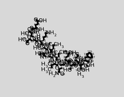 CC[C@H](C)[C@H](NC(=O)[C@H](CC(C)C)NC(=O)[C@H](Cc1c[nH]cn1)NC(=O)[C@H](CC(C)C)NC(=O)[C@H](CO)NC(=O)[C@H](CCCCN)NC(=O)[C@H](CCC(=O)O)NC(=O)[C@@H](NC(=O)[C@@H](N)CCC(=O)O)[C@@H](C)O)C(=O)N[C@@H](CCC(N)=O)C(=O)N[C@@H](CCC(=O)O)C(=O)N[C@@H](CO)C(=O)N[C@@H](CC(C)C)C(=O)N[C@H](C(=O)N[C@@H](Cc1ccccc1)C(=O)O)[C@@H](C)O